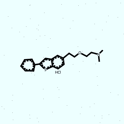 CN(C)CCOCCc1ccc2sc(-c3ccccc3)cc2c1.Cl